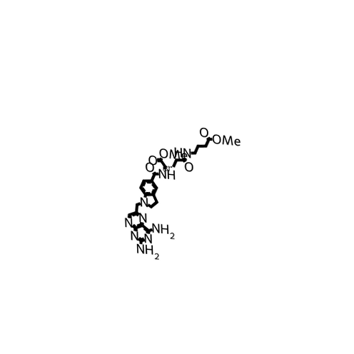 COC(=O)CCCNC(=O)CC[C@H](NC(=O)c1ccc2c(c1)CCN2Cc1cnc2nc(N)nc(N)c2n1)C(=O)OC